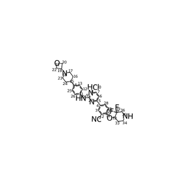 Cl.N#Cc1cc(-c2ccnc(Nc3ccc(C4CCN(C5COC5)CC4)cc3)n2)ccc1OC1CCNCC1(F)F